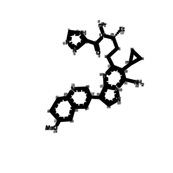 CCCN(C(=O)c1nnc[nH]1)[C@H](CC)CCc1nc2c(-c3cnc4ccc(OC)cc4c3)cnn2c(N)c1C1CC1